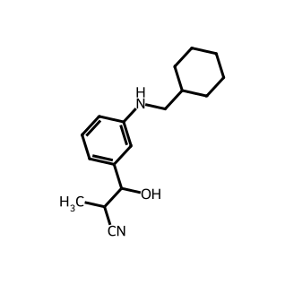 CC(C#N)C(O)c1cccc(NCC2CCCCC2)c1